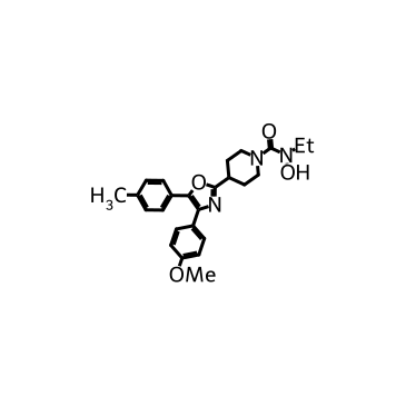 CCN(O)C(=O)N1CCC(c2nc(-c3ccc(OC)cc3)c(-c3ccc(C)cc3)o2)CC1